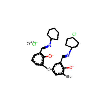 CC(C)(C)c1cccc(C=NC2CCCCC2)c1[O-].CC(C)(C)c1cccc(C=NC2CCCCC2)c1[O-].[Cl-].[Cl-].[Ti+4]